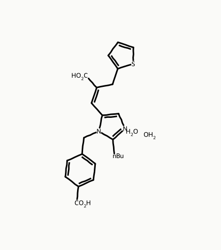 CCCCc1ncc(/C=C(\Cc2cccs2)C(=O)O)n1Cc1ccc(C(=O)O)cc1.O.O